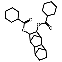 O=C(OC1C2CC(C1OC(=O)C1CCCCC1)C1C3CCC(C3)C21)C1CCCCC1